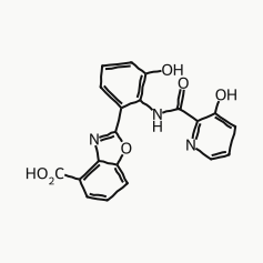 O=C(Nc1c(O)cccc1-c1nc2c(C(=O)O)cccc2o1)c1ncccc1O